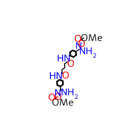 COC(=O)O/N=C(\N)c1ccc(NC(=O)CCCC(=O)Nc2ccc(/C(N)=N/OC(=O)OC)cc2)cc1